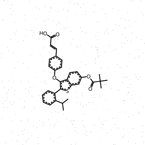 CC(C)c1ccccc1-c1sc2cc(OC(=O)C(C)(C)C)ccc2c1Oc1ccc(C=CC(=O)O)cc1